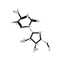 Nc1nc(=O)n([C@@H]2O[C@H](CI)[C@@H](O)[C@H]2O)cc1F